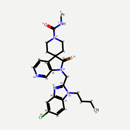 CC(C)NC(=O)N1CCC2(CC1)C(=S)N(Cc1nc3cc(Cl)ccc3n1CCCC#N)c1cnccc12